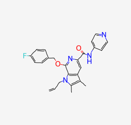 C=CCn1c(C)c(C)c2cc(C(=O)Nc3ccncc3)nc(OCc3ccc(F)cc3)c21